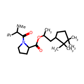 CNC(C(=O)N1CCCC1C(=O)OC(C)CC1CCC(C)(C)C1(C)C)C(C)C